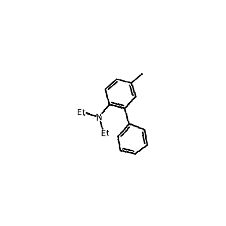 CCN(CC)c1ccc(C)cc1-c1ccccc1